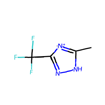 CC1=[N+]C(C(F)(F)F)=NN1